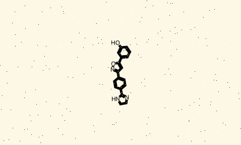 Oc1cccc(-c2cc(-c3ccc(C4=NCCN4)cc3)no2)c1